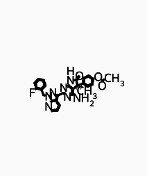 CC(=O)Oc1ccc([C@]2(C)C(=O)Nc3nc(-c4nn(Cc5ccccc5F)c5ncccc45)nc(N)c32)cc1